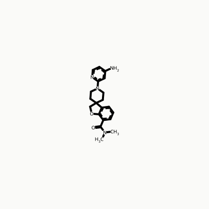 CN(C)C(=O)c1cccc2c1OCC21CCN(c2cc(N)ccn2)CC1